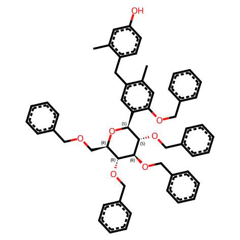 Cc1cc(O)ccc1Cc1cc([C@@H]2O[C@H](COCc3ccccc3)[C@@H](OCc3ccccc3)[C@H](OCc3ccccc3)[C@H]2OCc2ccccc2)c(OCc2ccccc2)cc1C